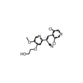 COc1cnc(/C(C#N)=C/c2c(Cl)cncc2Cl)cc1OCCO